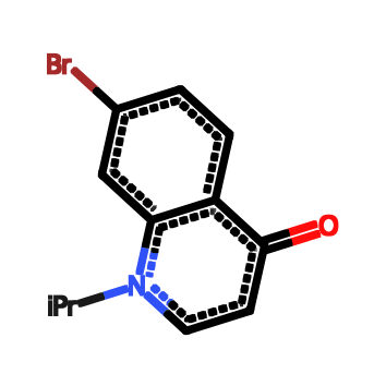 CC(C)n1ccc(=O)c2ccc(Br)cc21